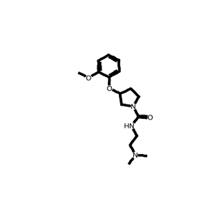 COc1ccccc1OC1CCN(C(=O)NCCN(C)C)C1